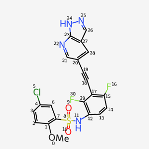 COc1ccc(Cl)cc1S(=O)(=O)Nc1ccc(F)c(C#Cc2cnc3[nH]ncc3c2)c1F